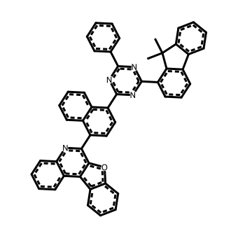 CC1(C)c2ccccc2-c2cccc(-c3nc(-c4ccccc4)nc(-c4ccc(-c5nc6ccccc6c6c5oc5ccccc56)c5ccccc45)n3)c21